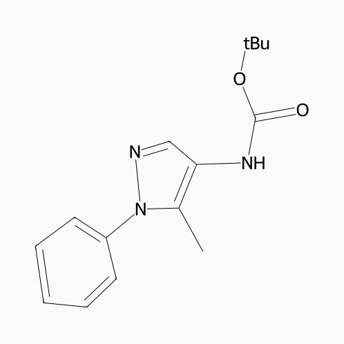 Cc1c(NC(=O)OC(C)(C)C)cnn1-c1ccccc1